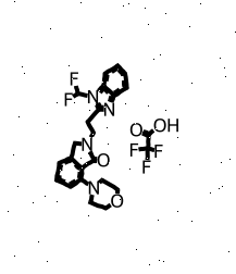 O=C(O)C(F)(F)F.O=C1c2c(cccc2N2CCOCC2)CN1CCc1nc2ccccc2n1C(F)F